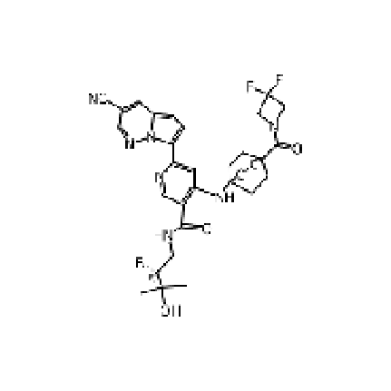 CC(C)(O)[C@H](F)CNC(=O)c1cnc(-c2ccc3cc(C#N)cnn23)cc1NC12CCC(C(=O)N3CC(F)(F)C3)(CC1)CC2